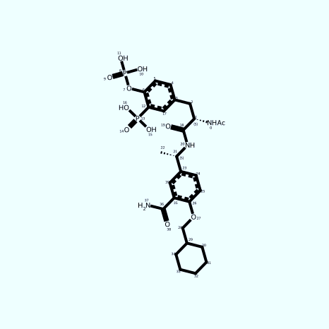 CC(=O)N[C@@H](Cc1ccc(OP(=O)(O)O)c(P(=O)(O)O)c1)C(=O)N[C@@H](C)c1ccc(OCC2CCCCC2)c(C(N)=O)c1